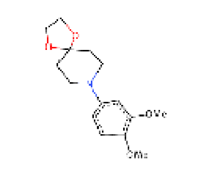 COc1ccc(N2CCC3(CC2)OCCO3)cc1OC